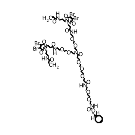 C=CC(=O)NCCCn1c(=O)c(Br)c(Br)c(=O)n1CCC(=O)NCCOCCOCCN(CCOCCOCCNC(=O)CCn1c(=O)c(Br)c(Br)c(=O)n1CCCNC(=O)C=C)C(=O)CCOCCOCCOCCC(=O)NCCOCCOCCNC(=O)OC[C@@H]1[C@@H]2CCC#CCC[C@@H]21